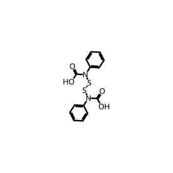 O=C(O)N(SSN(C(=O)O)c1ccccc1)c1ccccc1